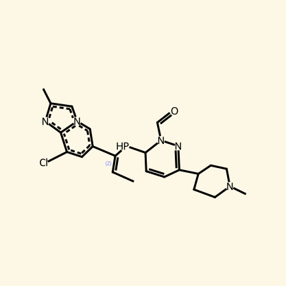 C/C=C(\PC1C=CC(C2CCN(C)CC2)=NN1C=O)c1cc(Cl)c2nc(C)cn2c1